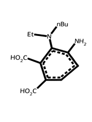 CCCCN(CC)c1c(N)ccc(C(=O)O)c1C(=O)O